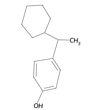 CC(c1ccc(O)cc1)C1CCCCC1